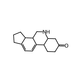 O=C1CCC2C3=CC=C4CCCC4C3CNC2C1